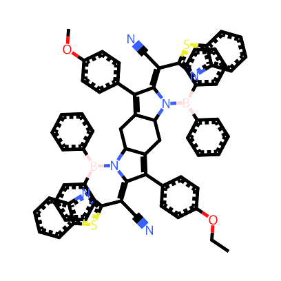 CCOc1ccc(C2=C3CC4C(=C(c5ccc(OC)cc5)/C(=C(\C#N)c5nc6ccccc6s5)N4B(c4ccccc4)c4ccccc4)CC3N(B(c3ccccc3)c3ccccc3)/C2=C(/C#N)c2nc3ccccc3s2)cc1